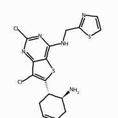 N[C@H]1CC=CC[C@@H]1c1sc2c(NCc3nccs3)nc(Cl)nc2c1Cl